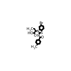 CCC(C(=O)O)n1c(=NC(=O)c2ccc(C)cc2)sc2ccc(Br)cc21